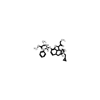 CCC(=O)C1OC2=C(OP(=O)(N[C@@H](C)C(=O)OC)Oc3ccccc3)C=CC3C[C@H]4N(CC5CC5)CC[C@@]1(C23)C4(C)O